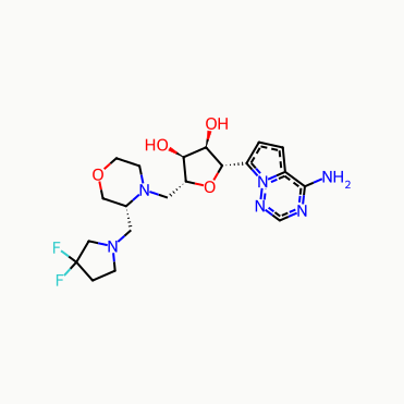 Nc1ncnn2c([C@@H]3O[C@H](CN4CCOC[C@H]4CN4CCC(F)(F)C4)[C@@H](O)[C@H]3O)ccc12